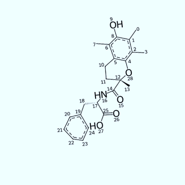 Cc1c(C)c2c(c(C)c1O)CC[C@@](C)(C(=O)N[C@@H](Cc1ccccc1)C(=O)O)O2